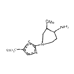 CCOC(=O)c1cnc(N2CCC(N)C(OC)C2)s1